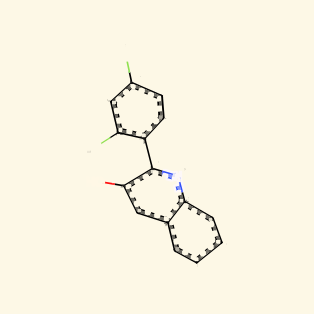 Oc1cc2ccccc2nc1-c1ccc(F)cc1F